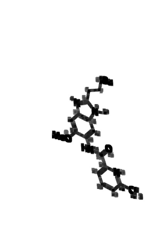 COc1cc2nc(CCC(C)(C)C)n(C)c2cc1NC(=O)c1cccc(C(F)(F)F)n1